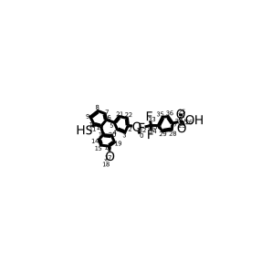 COc1ccc(-c2cccc(S)c2-c2ccc(OC)cc2)cc1.O=S(=O)(O)c1ccc(C(F)(F)F)cc1